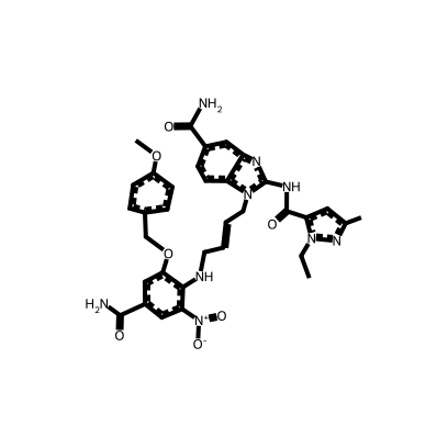 CCn1nc(C)cc1C(=O)Nc1nc2cc(C(N)=O)ccc2n1CC=CCNc1c(OCc2ccc(OC)cc2)cc(C(N)=O)cc1[N+](=O)[O-]